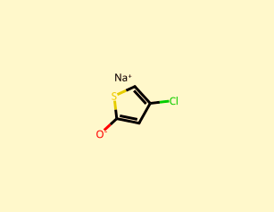 [Na+].[O-]c1cc(Cl)cs1